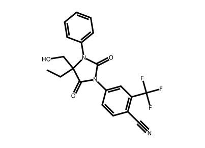 CCC1(CO)C(=O)N(c2ccc(C#N)c(C(F)(F)F)c2)C(=O)N1c1ccccc1